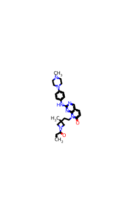 C=CC(=O)N1CC(C)(CCn2c(=O)ccc3cnc(Nc4ccc(N5CCN(C)CC5)cc4)nc32)C1